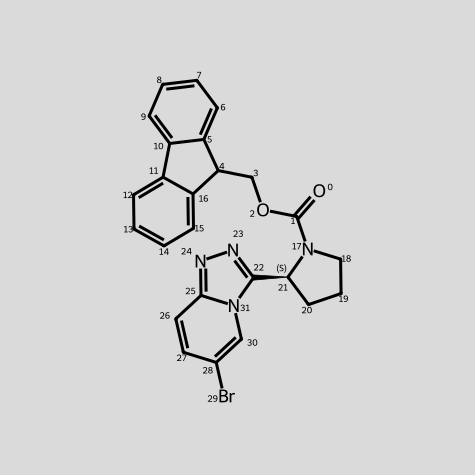 O=C(OCC1c2ccccc2-c2ccccc21)N1CCC[C@H]1c1nnc2ccc(Br)cn12